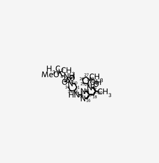 COC(C)(C)CNS(=O)(=O)N1CCC(Nc2ncc3cc(C)c(=O)n([C@H]4CCC[C@]4(C)O)c3n2)CC1